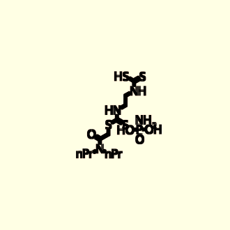 CCCN(CCC)C(=O)CSC(=S)NCCNC(=S)S.NP(=O)(O)O